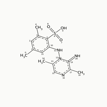 Cc1cc(C)c(S(=O)(=O)O)c(Nn2c(C)cnc(C)c2=N)c1